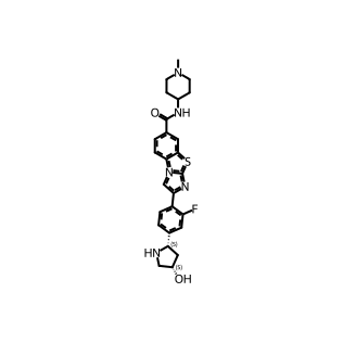 CN1CCC(NC(=O)c2ccc3c(c2)sc2nc(-c4ccc([C@@H]5C[C@H](O)CN5)cc4F)cn23)CC1